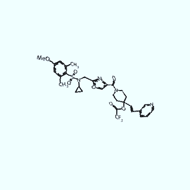 COc1cc(C)c(S(=O)(=O)N(Cc2nc(C(=O)N3CCC(C=Cc4cccnc4)(OC(=O)C(F)(F)F)CC3)co2)C2CC2)c(C)c1